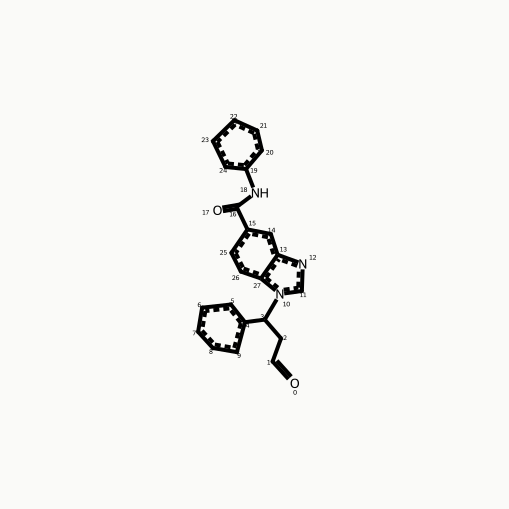 O=CCC(c1ccccc1)n1cnc2cc(C(=O)Nc3ccccc3)ccc21